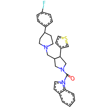 O=C(N1CC(CN2CCC(c3ccc(F)cc3)CC2)C(c2ccsc2)C1)n1ccc2ccccc21